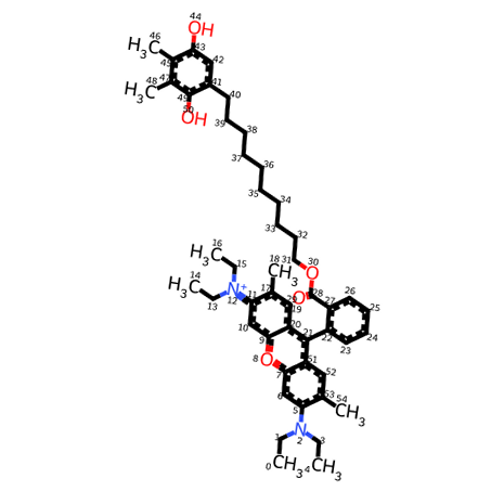 CCN(CC)c1cc2oc3cc(=[N+](CC)CC)c(C)cc-3c(-c3ccccc3C(=O)OCCCCCCCCCCc3cc(O)c(C)c(C)c3O)c2cc1C